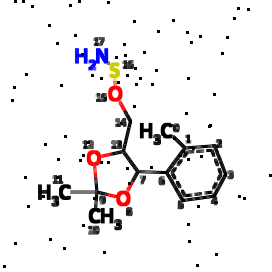 Cc1ccccc1C1OC(C)(C)OC1COSN